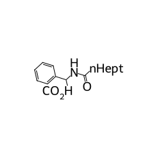 CCCCCCCC(=O)NC(C(=O)O)c1ccccc1